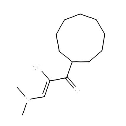 CN(C)/C=C(\C#N)C(=O)C1CCCCCCCC1